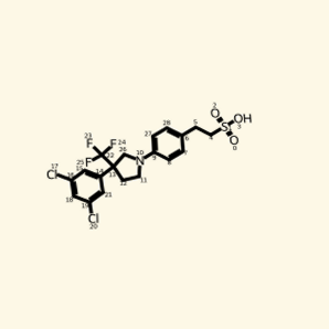 O=S(=O)(O)CCc1ccc(N2CCC(c3cc(Cl)cc(Cl)c3)(C(F)(F)F)C2)cc1